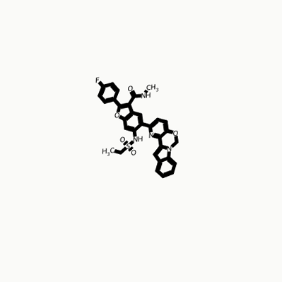 CCS(=O)(=O)Nc1cc2oc(-c3ccc(F)cc3)c(C(=O)NC)c2cc1-c1ccc2c(n1)-c1cc3ccccc3n1CO2